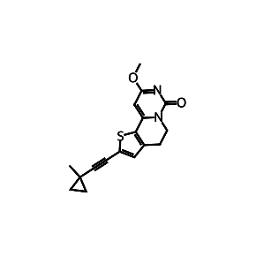 COc1cc2n(c(=O)n1)CCc1cc(C#CC3(C)CC3)sc1-2